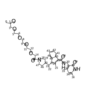 CC(=O)COCCOCCOCCOCC(=O)N1CCC(C(C)C2C(C)=C(C(=O)NCc3c(C)cc(C)[nH]c3=O)c3ccccc32)CC1